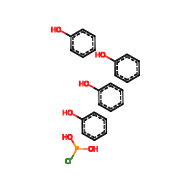 OP(O)Cl.Oc1ccccc1.Oc1ccccc1.Oc1ccccc1.Oc1ccccc1